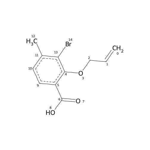 C=CCOc1c(C(=O)O)ccc(C)c1Br